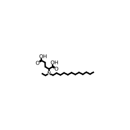 CCCCCCCCCCCCN(CC)C(CCC(=O)O)C(=O)O